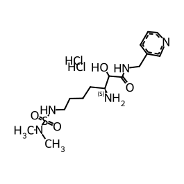 CN(C)S(=O)(=O)NCCCC[C@H](N)C(O)C(=O)NCc1cccnc1.Cl.Cl